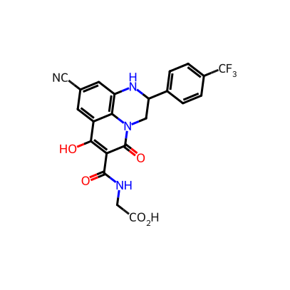 N#Cc1cc2c3c(c1)c(O)c(C(=O)NCC(=O)O)c(=O)n3CC(c1ccc(C(F)(F)F)cc1)N2